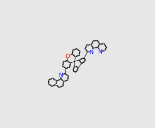 c1ccc2c(c1)Oc1ccc(-c3ccc4ccc5ccccc5c4n3)cc1C21c2ccccc2-c2ccc(-c3ccc4ccc5cccnc5c4n3)cc21